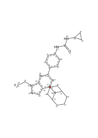 O=C(Nc1ccc(-c2nc(N3C4CCCC3COC4)c3cnn(CC(F)(F)F)c3n2)cc1)NC1CC1